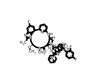 CO[C@H]1CN(C)C(=O)[C@@H]2C[C@@H](CN2c2nc(N3C4CC3CN(C(=O)OC(C)(C)C)C4)nc3c2cnn3-c2ccc(F)cc2F)Nc2cccc(n2)-c2cc(F)cc3nc(C)n(c23)C1